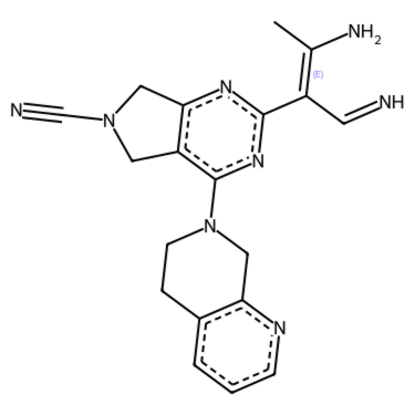 C/C(N)=C(/C=N)c1nc2c(c(N3CCc4cccnc4C3)n1)CN(C#N)C2